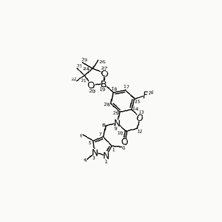 Cc1nn(C)c(C)c1CN1C(=O)COc2c(F)cc(B3OC(C)(C)C(C)(C)O3)cc21